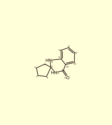 O=C1NC2(CCCC2)Nc2ccccc21